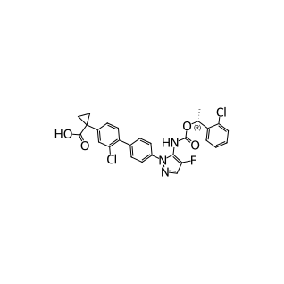 C[C@@H](OC(=O)Nc1c(F)cnn1-c1ccc(-c2ccc(C3(C(=O)O)CC3)cc2Cl)cc1)c1ccccc1Cl